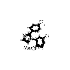 COc1ccc(Cl)cc1-n1ccnc1-c1ccc(C(F)(F)F)cc1